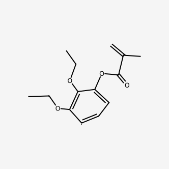 C=C(C)C(=O)Oc1cc[c]c(OCC)c1OCC